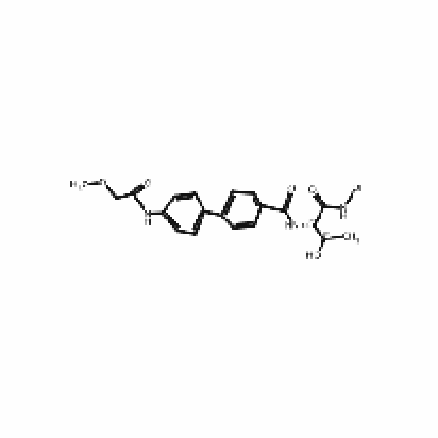 COCC(=O)Nc1ccc(-c2ccc(C(=O)N[C@H](C(=O)NO)[C@@H](C)O)cc2)cc1